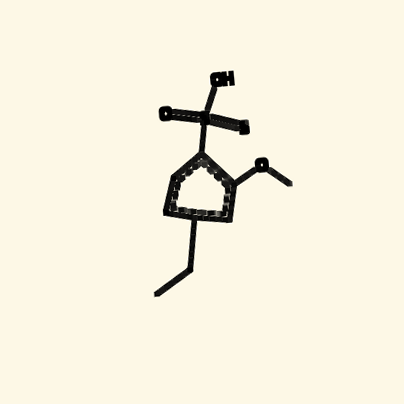 CCc1ccc(S(=O)(O)=S)c(OC)c1